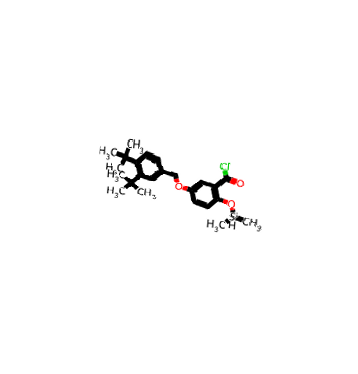 C[SiH](C)Oc1ccc(OCc2ccc(C(C)(C)C)c(C(C)(C)C)c2)cc1C(=O)Cl